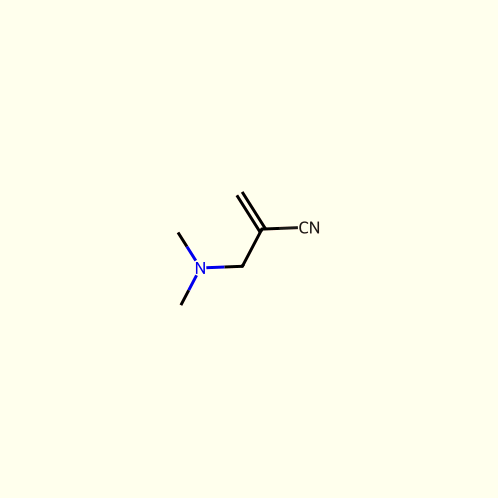 C=C(C#N)CN(C)C